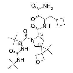 CC(C)(C)NC(=O)N[C@H](C(=O)N1C[C@@]2(C[C@H]1C(=O)NC(CC1CCC1)C(=O)C(N)=O)C(C)(C)C21COC1)C(C)(C)C